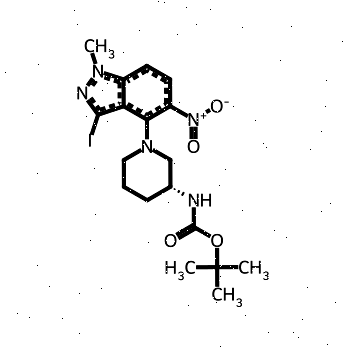 Cn1nc(I)c2c(N3CCC[C@@H](NC(=O)OC(C)(C)C)C3)c([N+](=O)[O-])ccc21